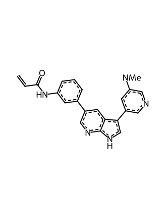 C=CC(=O)Nc1cccc(-c2cnc3[nH]cc(-c4cncc(NC)c4)c3c2)c1